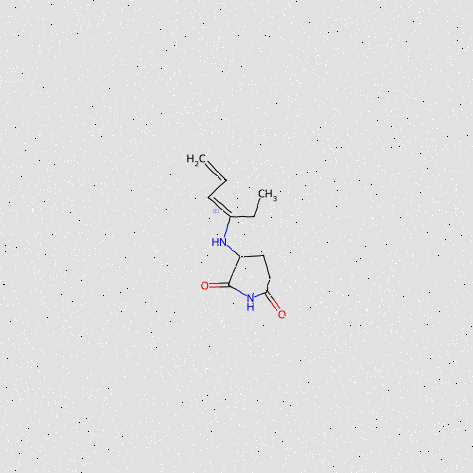 C=C/C=C(\CC)NC1CCC(=O)NC1=O